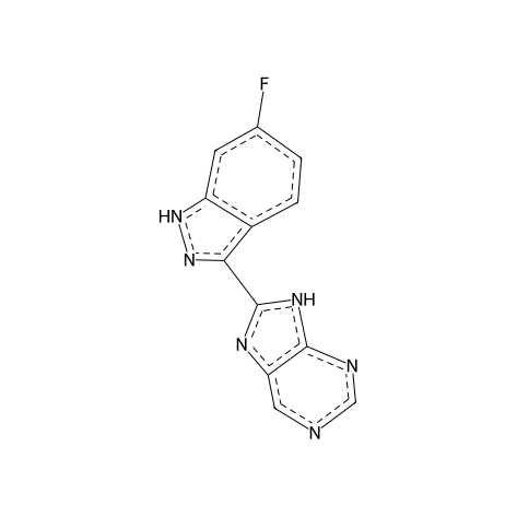 Fc1ccc2c(-c3nc4cncnc4[nH]3)n[nH]c2c1